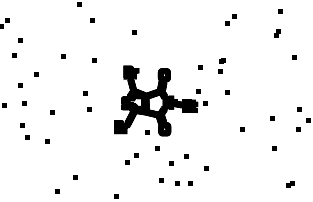 CCN1C(=O)c2c(Br)sc(Br)c2C1=O